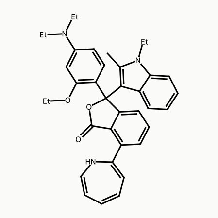 CCOc1cc(N(CC)CC)ccc1C1(c2c(C)n(CC)c3ccccc23)OC(=O)c2c(C3=CC=CC=CN3)cccc21